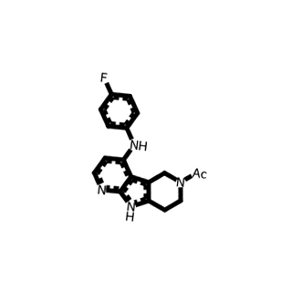 CC(=O)N1CCc2[nH]c3nccc(Nc4ccc(F)cc4)c3c2C1